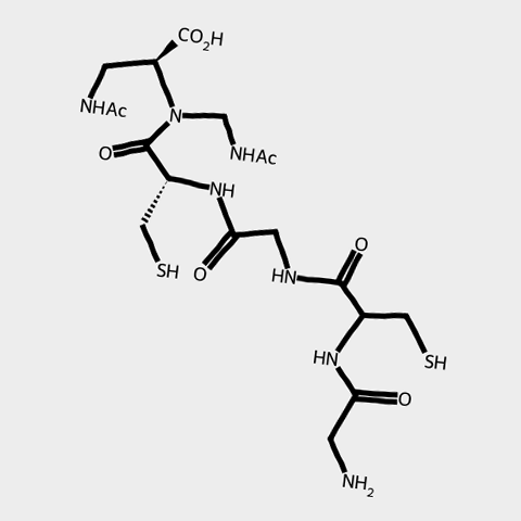 CC(=O)NC[C@@H](C(=O)O)N(CNC(C)=O)C(=O)[C@@H](CS)NC(=O)CNC(=O)C(CS)NC(=O)CN